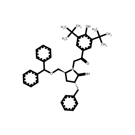 CC(C)(C)c1cc(C(=O)CN2C(=N)[C@H](Cc3ccccc3)C[C@H]2COC(c2ccccc2)c2ccccc2)cc(C(C)(C)C)c1O